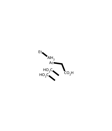 CC(=O)CC(=O)O.CC(=O)O.CC(=O)O.C[CH2][AlH2]